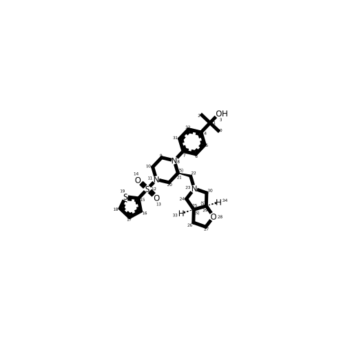 CC(C)(O)c1ccc(N2CCN(S(=O)(=O)c3cccs3)C[C@@H]2CN2C[C@@H]3CCO[C@@H]3C2)cc1